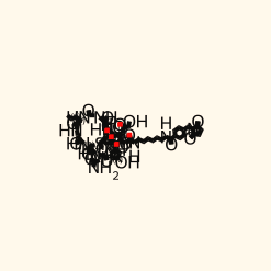 CC[C@H](C)[C@@H]1NC(=O)CNC(=O)[C@H]2Cc3c([nH]c4cc(OC(=O)NCCCCCCNC(=O)C5CCC(CN6C(=O)C=CC6=O)CC5)ccc34)[S+]([O-])C[C@H](NC(=O)CNC1=O)C(=O)N[C@@H](CC(N)=O)C(=O)N1C[C@H](O)C[C@H]1C(=O)N[C@@H]([C@@H](C)[C@@H](O)CO)C(=O)N2